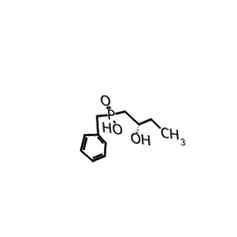 CC[C@H](O)CP(=O)(O)Cc1ccccc1